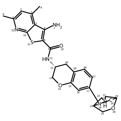 Cc1cc(C)c2c(N)c(C(=O)N[C@H]3COc4cc(N5CC6CNCC5CO6)ccc4C3)sc2n1